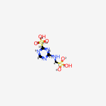 O=S(=O)(O)CNc1n[c]nc(S(=O)(=O)O)n1